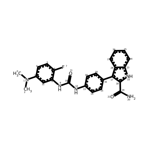 CN(C)c1ccc(F)c(NC(=O)Nc2ccc(-c3c(C(N)=O)[nH]c4ccccc34)cc2)c1